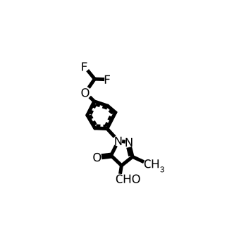 CC1=NN(c2ccc(OC(F)F)cc2)C(=O)C1C=O